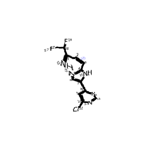 N=C(/C=C\c1ncc(-c2cc(Cl)ncn2)[nH]1)C(F)F